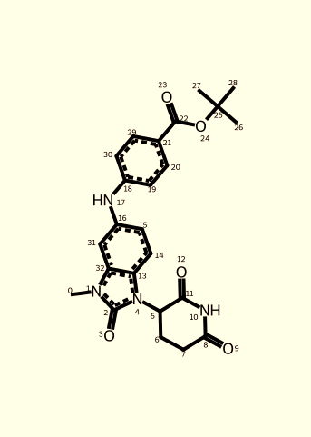 Cn1c(=O)n(C2CCC(=O)NC2=O)c2ccc(Nc3ccc(C(=O)OC(C)(C)C)cc3)cc21